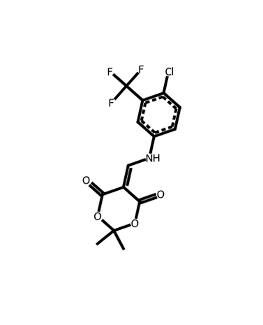 CC1(C)OC(=O)C(=CNc2ccc(Cl)c(C(F)(F)F)c2)C(=O)O1